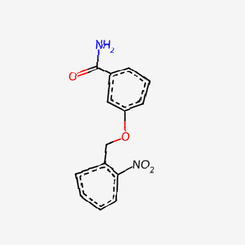 NC(=O)c1cccc(OCc2ccccc2[N+](=O)[O-])c1